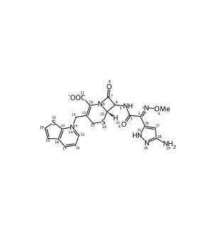 CON=C(C(=O)NC1C(=O)N2C(C(=O)[O-])=C(C[n+]3cccc4ccsc43)CS[C@@H]12)c1cc(N)n[nH]1